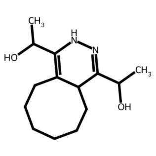 CC(O)C1=NNC(C(C)O)=C2CCCCCCC12